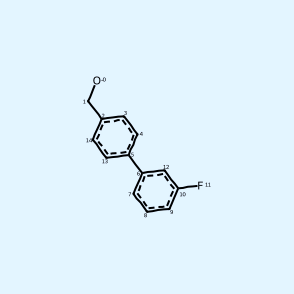 [O]Cc1ccc(-c2cccc(F)c2)cc1